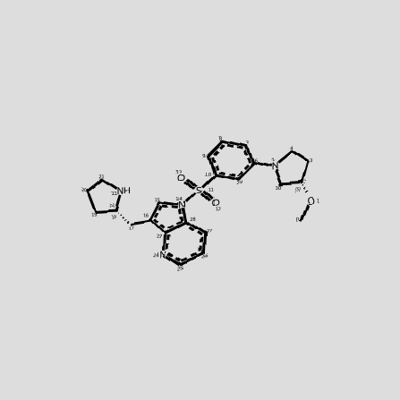 CO[C@H]1CCN(c2cccc(S(=O)(=O)n3cc(C[C@@H]4CCCN4)c4ncccc43)c2)C1